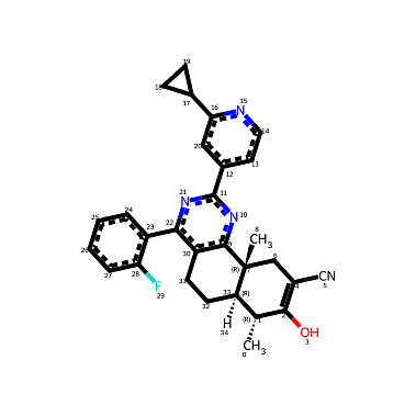 C[C@H]1C(O)=C(C#N)C[C@@]2(C)c3nc(-c4ccnc(C5CC5)c4)nc(-c4ccccc4F)c3CC[C@H]12